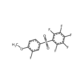 COc1ccc(S(=O)(=O)c2c(F)c(F)c(F)c(F)c2F)cc1F